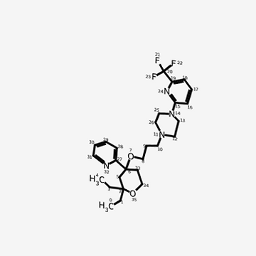 CCC1(CC)CC(OCCCN2CCN(c3cccc(C(F)(F)F)n3)CC2)(c2ccccn2)CCO1